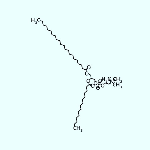 CCCCCCCCCCCCCCCCCCCCCC(=O)OC[C@H](COP(=O)([O-])OCC[N+](C)(C)C)OC(=O)CCCCCCCCCCCCCC